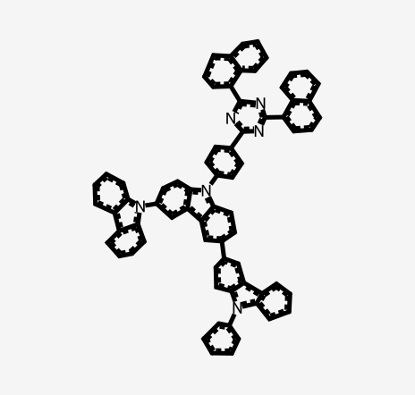 c1ccc(-n2c3ccccc3c3cc(-c4ccc5c(c4)c4cc(-n6c7ccccc7c7ccccc76)ccc4n5-c4ccc(-c5nc(-c6cccc7ccccc67)nc(-c6cccc7ccccc67)n5)cc4)ccc32)cc1